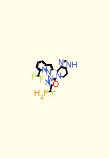 FC(F)c1cccc2cc([C@@H]3c4nc[nH]c4CCN3c3nnc(C(F)P)o3)nn12